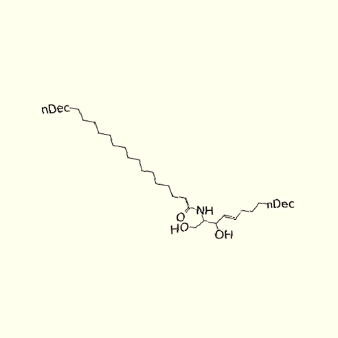 CCCCCCCCCCCCC/C=C/C(O)C(CO)NC(=O)CCCCCCCCCCCCCCCCCCCCCCCCC